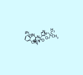 Cc1cccc(C(C)C)c1NC(=O)N=S(N)(=O)c1cnn2c1OCC(C)(C)C2